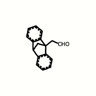 O=CCC12CC(c3ccccc31)c1ccccc12